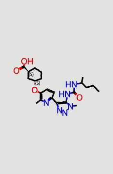 CCCC(C)NC(=O)Nc1c(-c2ccc(O[C@H]3CCC[C@H](C(=O)O)C3)c(C)n2)nnn1C